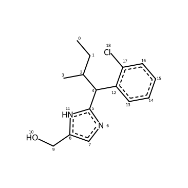 CCC(C)C(c1ncc(CO)[nH]1)c1ccccc1Cl